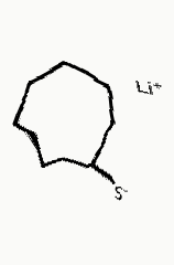 [Li+].[S-]C1CCCCCC1